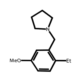 CCc1ccc(OC)cc1CN1CCCC1